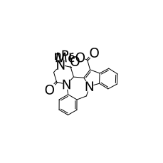 CCCN1CC(=O)N2c3ccccc3Cn3c(c(C(=O)OC)c4ccccc43)C2C1=O